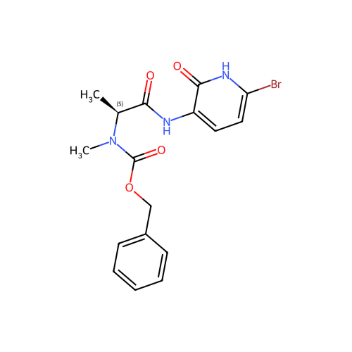 C[C@@H](C(=O)Nc1ccc(Br)[nH]c1=O)N(C)C(=O)OCc1ccccc1